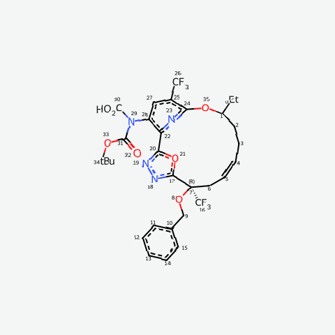 CCC1CCC=CC[C@](OCc2ccccc2)(C(F)(F)F)c2nnc(o2)-c2nc(c(C(F)(F)F)cc2N(C(=O)O)C(=O)OC(C)(C)C)O1